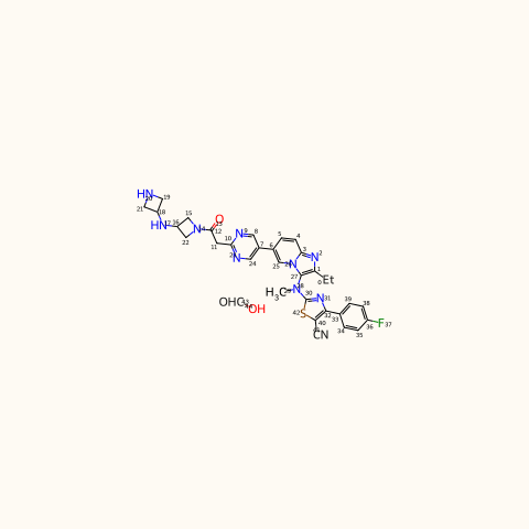 CCc1nc2ccc(-c3cnc(CC(=O)N4CC(NC5CNC5)C4)nc3)cn2c1N(C)c1nc(-c2ccc(F)cc2)c(C#N)s1.O=CO